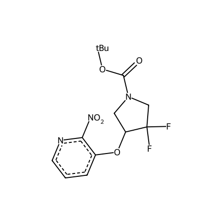 CC(C)(C)OC(=O)N1CC(Oc2cccnc2[N+](=O)[O-])C(F)(F)C1